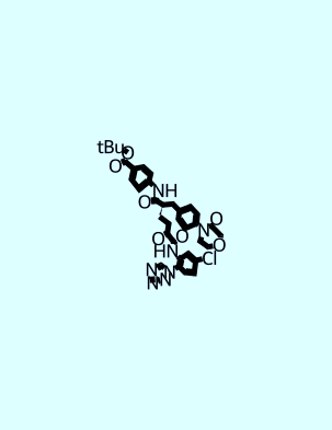 CC(C)(C)OC(=O)c1ccc(NC(=O)[C@@H](CCC(=O)C(=O)Nc2cc(Cl)ccc2-n2cnnn2)Cc2ccc(N3CCOCC3=O)cc2)cc1